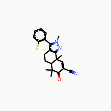 Cn1nc2c(c1-c1ccccc1F)CCC1C(C)(C)C(=O)C(C#N)=CC21C